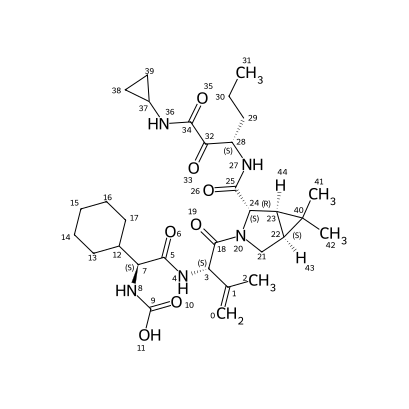 C=C(C)[C@H](NC(=O)[C@@H](NC(=O)O)C1CCCCC1)C(=O)N1C[C@H]2[C@@H]([C@H]1C(=O)N[C@@H](CCC)C(=O)C(=O)NC1CC1)C2(C)C